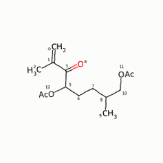 C=C(C)C(=O)C(CCC(C)COC(C)=O)OC(C)=O